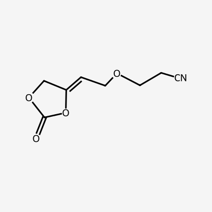 N#CCCOCC=C1COC(=O)O1